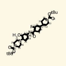 Cc1cc(NC(=O)c2ccc(C3=CCN(C(=O)OC(C)(C)C)CC3)cc2F)ccc1N1CCN(C(=O)OC(C)(C)C)CC1